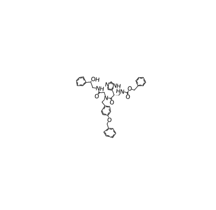 O=C(CN(Cc1ccc(OCc2ccccc2)cc1)C(=O)[C@@H](CNC(=O)OCc1ccccc1)c1cnc[nH]1)NCC(O)c1ccccc1